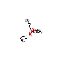 CC/C=C\C/C=C\C/C=C\C/C=C\C/C=C\CCCCCC(=O)OC[C@H](COP(=O)([O-])OCC[N+](C)(C)C)OC(=O)CCCC/C=C\C/C=C\C/C=C\C/C=C\CC